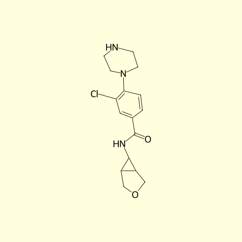 O=C(NC1C2COCC21)c1ccc(N2CCNCC2)c(Cl)c1